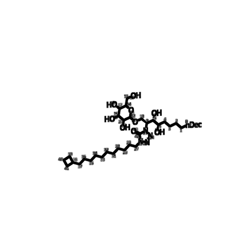 CCCCCCCCCCCCCC[C@@H](O)[C@@H](O)[C@H](COC1OC(CO)C(O)C(O)C1O)n1nnn(CCCCCCCCCCCC2CCC2)c1=O